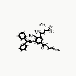 C.CCN(CC)CCC(N)c1cc(C(=O)OCCOC(C)=O)cc(Br)c1N.O=C(c1ccccc1)c1ccccc1